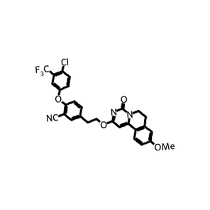 COc1ccc2c(c1)CCn1c-2cc(OCCc2ccc(Oc3ccc(Cl)c(C(F)(F)F)c3)c(C#N)c2)nc1=O